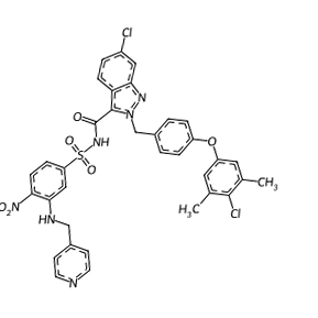 Cc1cc(Oc2ccc(Cn3nc4cc(Cl)ccc4c3C(=O)NS(=O)(=O)c3ccc([N+](=O)[O-])c(NCc4ccncc4)c3)cc2)cc(C)c1Cl